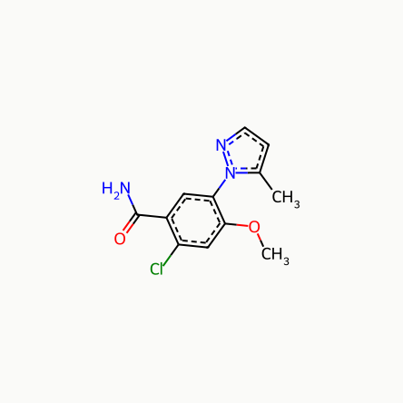 COc1cc(Cl)c(C(N)=O)cc1-n1nccc1C